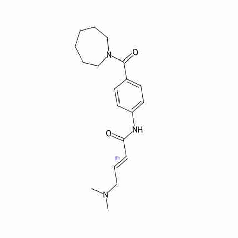 CN(C)C/C=C/C(=O)Nc1ccc(C(=O)N2CCCCCC2)cc1